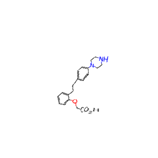 O=C(O)COc1ccccc1CCc1ccc(N2CCNCC2)cc1